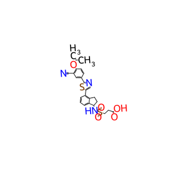 CC(C)Oc1ccc(-c2ncc(-c3cccc4c3CCC4NS(=O)(=O)CCC(=O)O)s2)cc1C#N